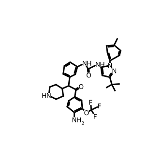 Cc1ccc(-n2nc(C(C)(C)C)cc2NC(=O)Nc2cccc(C(C(=O)c3ccc(N)c(OC(F)(F)F)c3)C3CCNCC3)c2)cc1